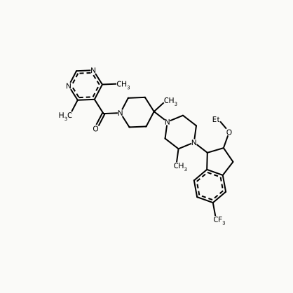 CCOC1Cc2cc(C(F)(F)F)ccc2C1N1CCN(C2(C)CCN(C(=O)c3c(C)ncnc3C)CC2)CC1C